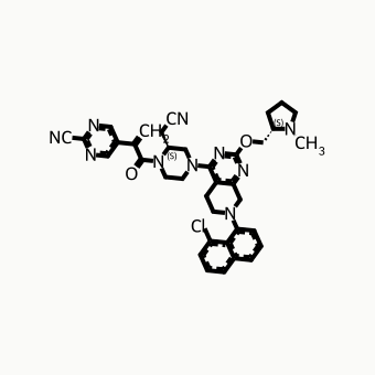 C=C(C(=O)N1CCN(c2nc(OC[C@@H]3CCCN3C)nc3c2CCN(c2cccc4cccc(Cl)c24)C3)C[C@@H]1CC#N)c1cnc(C#N)nc1